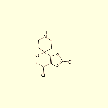 OC1COC2(CCNCC2)c2sc(Cl)cc21